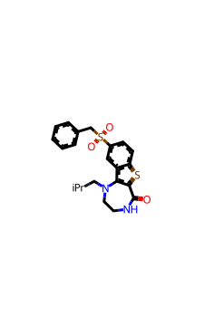 CC(C)CN1CCNC(=O)c2sc3ccc(S(=O)(=O)Cc4ccccc4)cc3c21